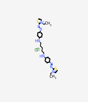 CC[n+]1ccsc1/N=N/c1ccc(NCCCCCNc2ccc(/N=N/c3scc[n+]3CC)cc2)cc1.[Cl-].[Cl-]